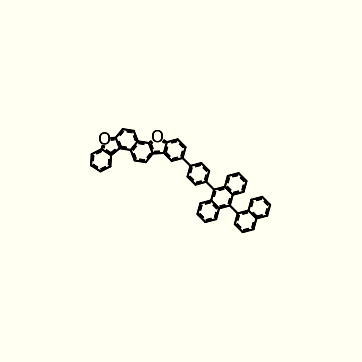 c1ccc2c(-c3c4ccccc4c(-c4ccc(-c5ccc6oc7c(ccc8c7ccc7oc9ccccc9c78)c6c5)cc4)c4ccccc34)cccc2c1